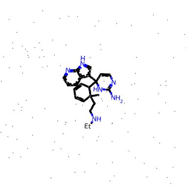 CCNCCC1(C)C=CC=CC1C1(c2c[nH]c3ncccc23)C=CN=C(N)N1